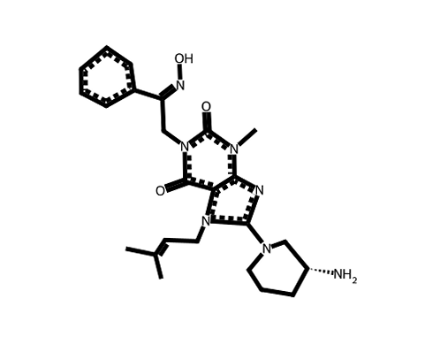 CC(C)=CCn1c(N2CCC[C@@H](N)C2)nc2c1c(=O)n(CC(=NO)c1ccccc1)c(=O)n2C